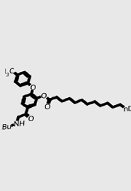 CCCCCCCCCCCCCCCCCCCCCC(=O)Oc1cc(C(=O)CNC(C)(C)C)ccc1Oc1ccc(C)cc1